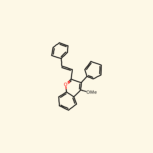 COc1c(-c2ccccc2)c(C=Cc2ccccc2)[o+]c2ccccc12